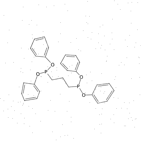 c1ccc(OP(CCCP(Oc2ccccc2)Oc2ccccc2)Oc2ccccc2)cc1